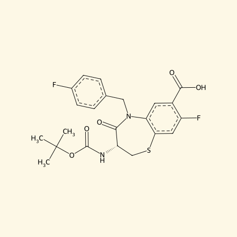 CC(C)(C)OC(=O)N[C@H]1CSc2cc(F)c(C(=O)O)cc2N(Cc2ccc(F)cc2)C1=O